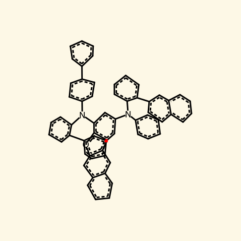 c1ccc(-c2ccc(N(c3ccccc3-c3ccccc3)c3cc(N(c4ccccc4)c4ccccc4-c4ccc5ccccc5c4)cc4c3oc3cc5ccccc5cc34)cc2)cc1